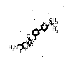 CN(C)c1ccc(-c2cccc(Cn3nnn(CC(CN)=C(F)F)c3=O)c2)cn1